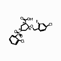 O=C(O)[C@@H]1C[C@@H](S(=O)(=O)c2ccccc2Cl)C[C@H]1OCc1ccc(Cl)cc1F